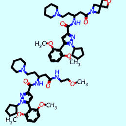 COCCNC(=O)CC(CCN1CCCCC1)NC(=O)c1cc(-c2c(OC)cccc2OC)n(C2CCCC2)n1.COc1cccc(OC)c1-c1cc(C(=O)NC(CCN2CCCCC2)CC(=O)N2CC3(COC3)C2)nn1C1CCCC1